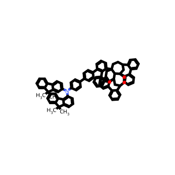 CC1(C)c2ccccc2-c2ccc(N(c3ccc(-c4ccc(-c5cccc6c5-c5ccccc5C5CCC67CCC6CC8(CCC9CC5(c5ccccc5-c5ccccc59)C87)c5ccccc5-c5ccccc56)cc4)cc3)c3cccc4c3-c3ccccc3C4(C)C)cc21